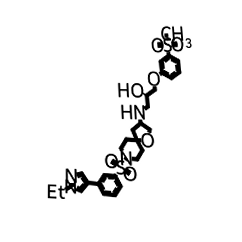 CCn1cc(-c2cccc(S(=O)(=O)N3CCC4(CC3)CC(NC[C@H](O)COc3cccc(S(C)(=O)=O)c3)CO4)c2)cn1